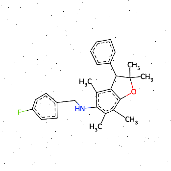 Cc1c(C)c2c(c(C)c1NCc1ccc(F)cc1)C(c1ccccc1)C(C)(C)O2